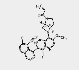 C#Cc1c(F)ccc2cccc(-c3ncc4c(N5C[C@@H]6[C@H]5CCN6C(=O)C=C)c(OC)cnc4c3F)c12